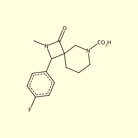 CN1C(=O)C2(CCCN(C(=O)O)C2)C1c1ccc(F)cc1